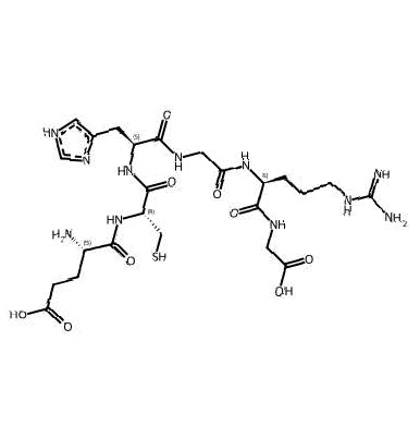 N=C(N)NCCC[C@H](NC(=O)CNC(=O)[C@H](Cc1c[nH]cn1)NC(=O)[C@H](CS)NC(=O)[C@@H](N)CCC(=O)O)C(=O)NCC(=O)O